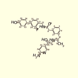 C[C@H](Cc1cccc(CC(=O)NCc2ccc(-c3ccc(O)cc3)cc2F)c1)NC[C@H](O)c1ccc(N)nc1